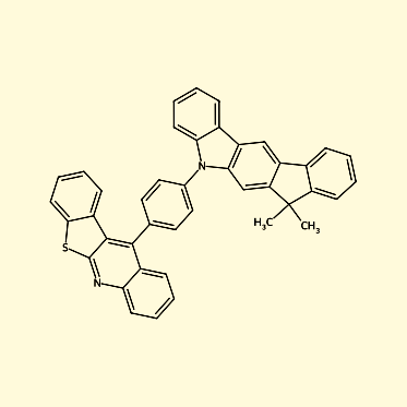 CC1(C)c2ccccc2-c2cc3c4ccccc4n(-c4ccc(-c5c6ccccc6nc6sc7ccccc7c56)cc4)c3cc21